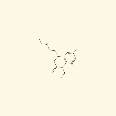 CCOCC[C@H]1CC(=O)N(CC)c2ncc(C)cc21